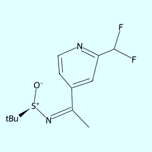 C/C(=N/[S@+]([O-])C(C)(C)C)c1ccnc(C(F)F)c1